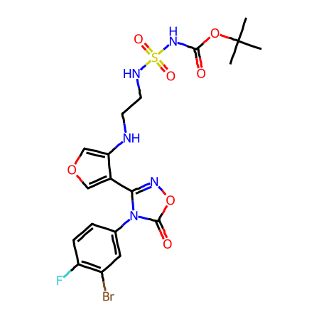 CC(C)(C)OC(=O)NS(=O)(=O)NCCNc1cocc1-c1noc(=O)n1-c1ccc(F)c(Br)c1